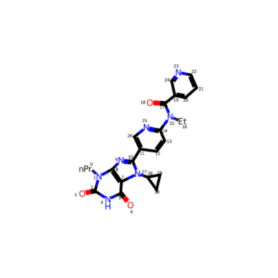 CCCn1c(=O)[nH]c(=O)c2c1nc(-c1ccc(N(CC)C(=O)c3cccnc3)nc1)n2C1CC1